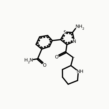 NC(=O)c1cccc(-c2sc(N)nc2C(=O)[CH]C2CCCCN2)c1